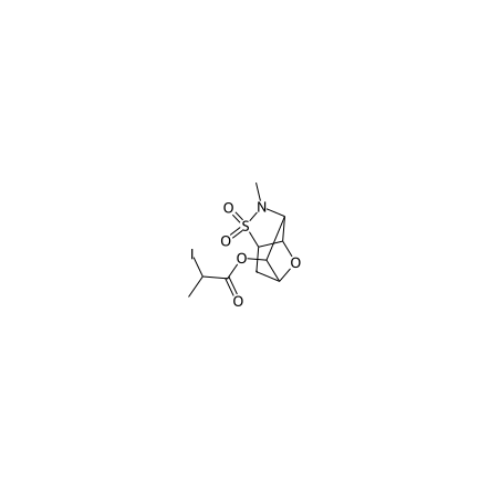 CC(I)C(=O)OC1C2CC3C(O2)C1N(C)S3(=O)=O